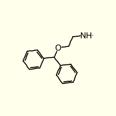 [NH]CCOC(c1ccccc1)c1ccccc1